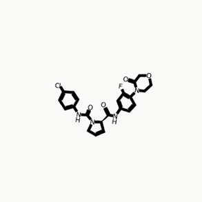 O=C(Nc1ccc(N2CCOCC2=O)c(F)c1)[C@H]1C=CCN1C(=O)Nc1ccc(Cl)cc1